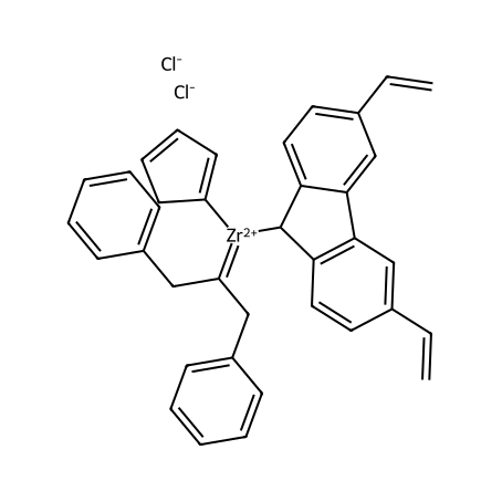 C=Cc1ccc2c(c1)-c1cc(C=C)ccc1[CH]2[Zr+2]([C]1=CC=CC1)=[C](Cc1ccccc1)Cc1ccccc1.[Cl-].[Cl-]